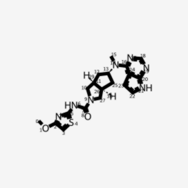 COc1csc(NC(=O)N2C[C@H]3C[C@H](N(C)c4ncnc5[nH]ccc45)C[C@H]3C2)n1